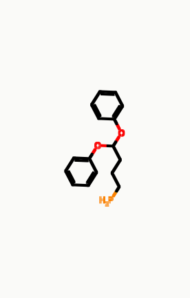 PCCCC(Oc1ccccc1)Oc1ccccc1